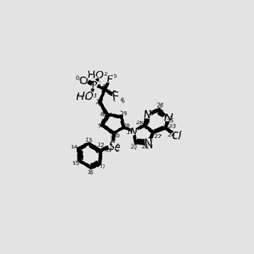 O=P(O)(O)C(F)(F)CC1CC([Se]c2ccccc2)C(n2cnc3c(Cl)ncnc32)C1